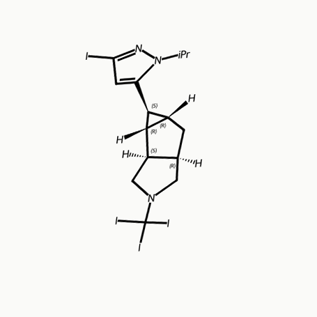 CC(C)n1nc(I)cc1[C@H]1[C@@H]2C[C@H]3CN(C(I)(I)I)C[C@H]3[C@@H]21